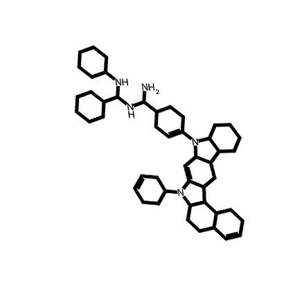 NC(NC(NC1CCCCC1)C1CCCCC1)C1CC=C(N2C3C=C4C(CC3C3CCCCC32)C2C3CCC=CC3CCC2N4C2CC=CCC2)CC1